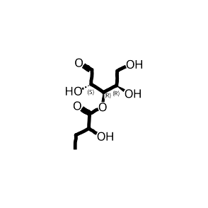 CCC(O)C(=O)O[C@@H]([C@H](O)C=O)[C@H](O)CO